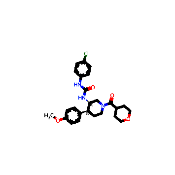 COc1ccc([C@@H]2CCN(C(=O)C3CCOCC3)C[C@H]2NC(=O)Nc2ccc(Cl)cc2)cc1